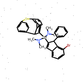 C[N](C)[Zr]([C]1=Cc2c3cccc2C1c1ccc(cc1)S3)([C]1=Cc2cccc(Br)c2C1c1ccccc1)[N](C)C